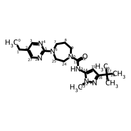 CCc1cnc(N2CCCN(C(=O)Nc3cc(C(C)(C)C)nn3C)CC2)nc1